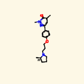 Cc1cc(-c2ccc(OCCCN3CCC[C@H]3C)cc2)nn(C)c1=O